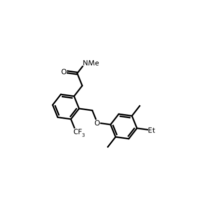 CCc1cc(C)c(OCc2c(CC(=O)NC)cccc2C(F)(F)F)cc1C